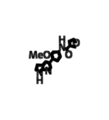 COc1cc(NC(=O)c2ccoc2)ccc1-c1cnc2[nH]ccc2c1